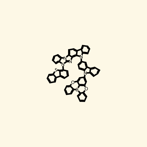 c1ccc2c(c1)Oc1cc(-n3c4ccccc4c4cc(-n5c6ccccc6c6ccc7c(nc8n(-c9cccc%10c9sc9ccccc9%10)c9ccccc9n78)c65)ccc43)cc3c1B2c1ccccc1O3